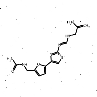 C=C(N)CNC=Nc1nc(-c2ccc(CNC(N)=O)o2)cs1